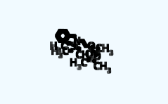 CCO[Si](C)(OCC)OCCN(Cc1ccccc1)[Si](CC)(CC)CC